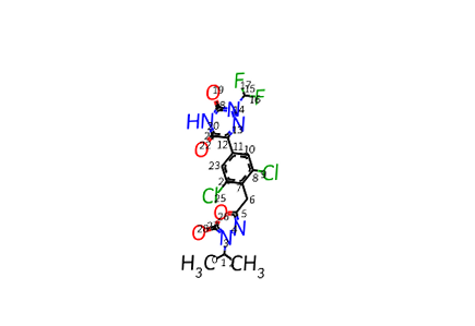 CC(C)n1nc(Cc2c(Cl)cc(-c3nn(C(F)F)c(=O)[nH]c3=O)cc2Cl)oc1=O